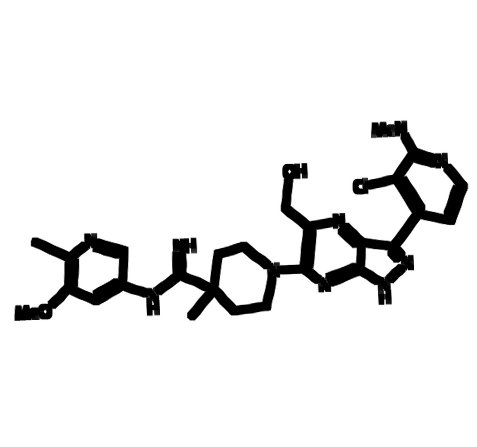 CNc1nccc(-c2n[nH]c3nc(N4CCC(C)(C(=N)Nc5cnc(C)c(OC)c5)CC4)c(CO)nc23)c1Cl